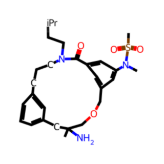 CC(C)CCN1CCCc2cccc(c2)CC(C)(N)COCc2cc(cc(N(C)S(C)(=O)=O)c2)C1=O